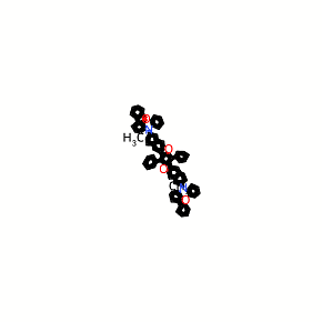 Cc1ccc2c(oc3ccccc32)c1N(c1ccccc1)c1ccc2cc3c(cc2c1)oc1c(-c2ccccc2)c2c(oc4cc5cc(N(c6ccccc6)c6c(C)ccc7c6oc6ccccc67)ccc5cc42)c(-c2ccccc2)c13